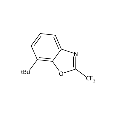 CC(C)(C)c1cccc2nc(C(F)(F)F)oc12